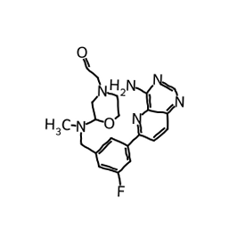 CN(Cc1cc(F)cc(-c2ccc3ncnc(N)c3n2)c1)C1CN(CC=O)CCO1